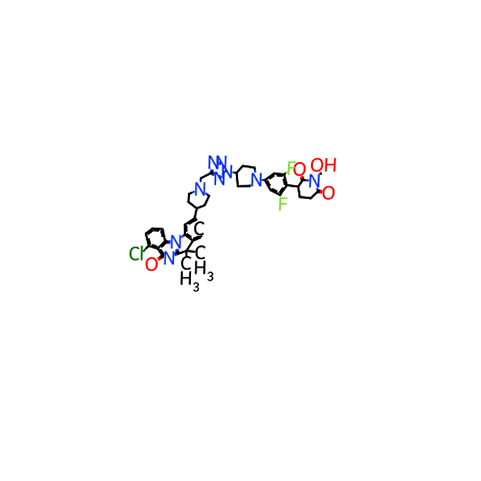 CC1(C)c2ccc(C3CCN(Cc4nnn(C5CCN(c6cc(F)c(C7CCC(=O)N(CO)C7=O)c(F)c6)CC5)n4)CC3)cc2-n2c1nc(=O)c1c(Cl)cccc12